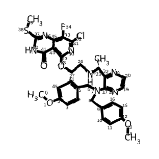 COc1ccc(CN(Cc2ccc(OC)cc2)c2nccnc2[C@@H](C)NCCOc2nc(Cl)c(F)c3nc(SC)[nH]c(=O)c23)cc1